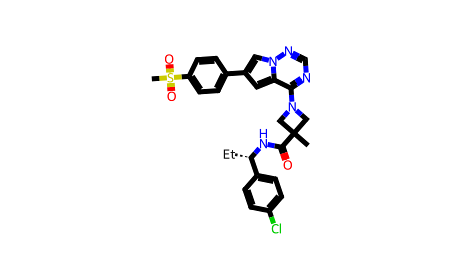 CC[C@H](NC(=O)C1(C)CN(c2ncnn3cc(-c4ccc(S(C)(=O)=O)cc4)cc23)C1)c1ccc(Cl)cc1